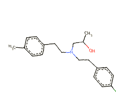 Cc1ccc(CCN(CCc2ccc(Cl)cc2)CC(C)O)cc1